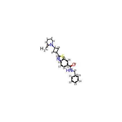 C[C@H]1CCCCN1C1CC(c2nc3ccc(C(=O)NCc4ccccc4)cc3s2)C1